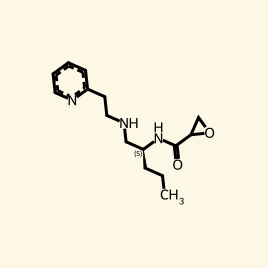 CCC[C@@H](CNCCc1ccccn1)NC(=O)C1CO1